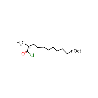 CCCCCCCCCCCCCCCC[C@H](C)C(=O)Cl